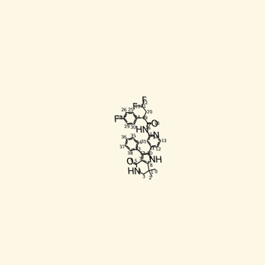 CC1(C)CNC(=O)c2c1[nH]c(-c1ccnc(NC(=O)C(CC(F)F)c3ccc(F)cc3)c1)c2-c1ccccc1